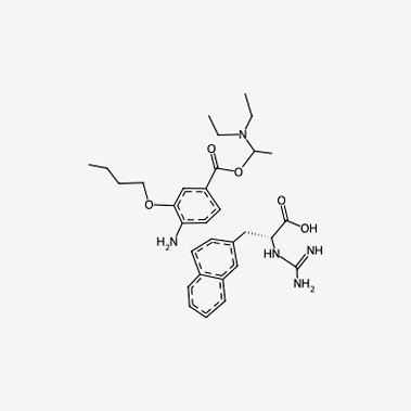 CCCCOc1cc(C(=O)OC(C)N(CC)CC)ccc1N.N=C(N)N[C@H](Cc1ccc2ccccc2c1)C(=O)O